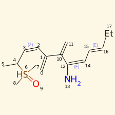 C=C(/C=C\C(C)[SH](C)(C)=O)C(=C)/C(N)=C\C=C\CC